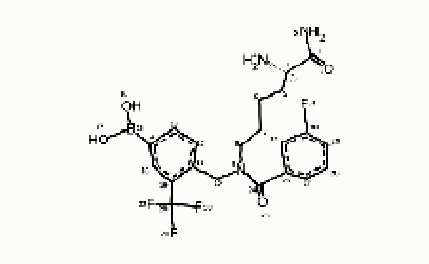 NC(=O)[C@@H](N)CCCCN(Cc1ccc(B(O)O)cc1C(F)(F)F)C(=O)c1cc[c]c(F)c1